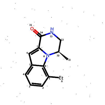 CCc1cccc2cc3n(c12)[C@H](C)CNC3=O